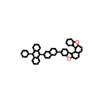 c1ccc(-c2c3ccccc3c(-c3ccc4cc(-c5ccc6c(c5)oc5ccc7ccc8oc9ccccc9c8c7c56)ccc4c3)c3ccccc23)cc1